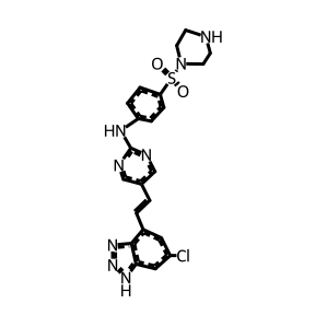 O=S(=O)(c1ccc(Nc2ncc(/C=C/c3cc(Cl)cc4[nH]nnc34)cn2)cc1)N1CCNCC1